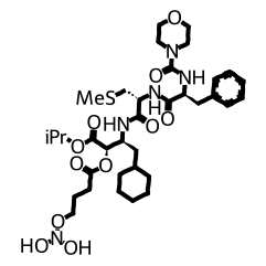 CSC[C@H](NC(=O)[C@H](Cc1ccccc1)NC(=O)N1CCOCC1)C(=O)N[C@@H](CC1CCCCC1)[C@H](OC(=O)CCCON(O)O)C(=O)OC(C)C